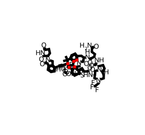 CC(C)(C)c1ccc(CC(NC(=O)C(CCC(N)=O)NC(=O)[C@@H]2CC[C@@H]3CCN(CC(F)(F)F)C[C@H](NC(=O)c4cc5cc(C(F)(F)P(=O)(O)O)ccc5s4)C(=O)N32)C(=O)N2CCC(CCC#Cc3cccc4c3CN(C3CCC(=O)NC3=O)C4=O)CC2)cc1